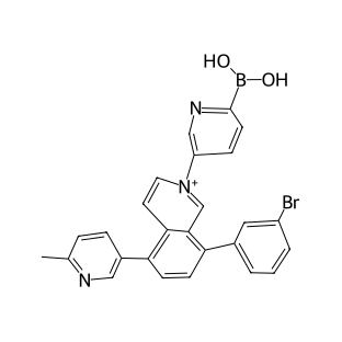 Cc1ccc(-c2ccc(-c3cccc(Br)c3)c3c[n+](-c4ccc(B(O)O)nc4)ccc23)cn1